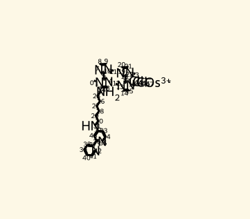 Cn1ccnc1-c1nccn1C.Cn1ccnc1-c1nccn1C.NCCCCCCNc1ccnc(-c2ccccn2)c1.[Cl-].[Cl-].[Cl-].[Os+3]